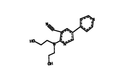 N#Cc1cc(-c2ccncc2)cnc1N(CCO)CCO